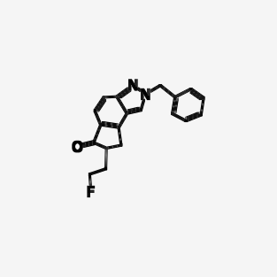 O=C1c2ccc3nn(Cc4ccccc4)cc3c2CC1CCF